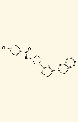 O=C(NC1CCN(c2nccc(-c3ccc4ccccc4c3)n2)C1)c1ccc(Cl)cc1